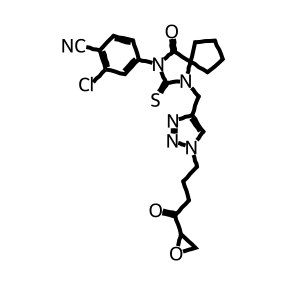 N#Cc1ccc(N2C(=O)C3(CCCC3)N(Cc3cn(CCCC(=O)C4CO4)nn3)C2=S)cc1Cl